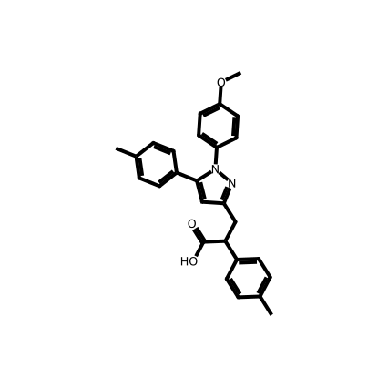 COc1ccc(-n2nc(CC(C(=O)O)c3ccc(C)cc3)cc2-c2ccc(C)cc2)cc1